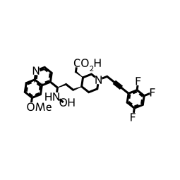 COc1ccc2nccc([C@@H](CC[C@@H]3CCN(CC#Cc4cc(F)cc(F)c4F)C[C@@H]3CC(=O)O)NO)c2c1